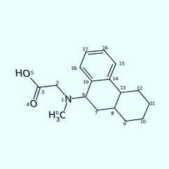 CN(CC(=O)O)C1CC2CCCCC2c2ccccc21